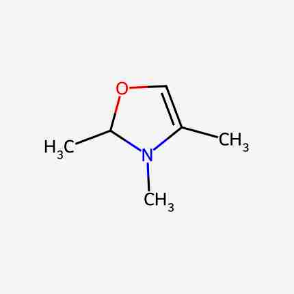 CC1=COC(C)N1C